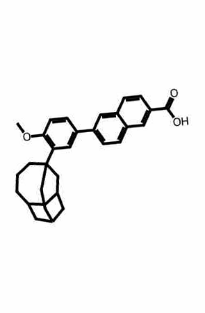 COc1ccc(-c2ccc3cc(C(=O)O)ccc3c2)cc1C12CCCC3CC(CC1)CC(C3)C2